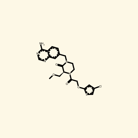 COC[C@H]1C(=O)N(Cc2ccc3c(N)ncnc3c2)CCN1C(=O)COc1cc(Cl)cs1